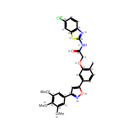 COc1cc(-c2cc(-c3ccc(C)c(OCC(=O)Nc4nc5ccc(Cl)cc5s4)c3)on2)cc(OC)c1OC